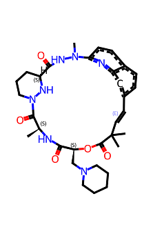 C[C@@H]1NC(=O)[C@H](CN2CCCCC2)OC(=O)C(C)(C)/C=C/c2ccc3ccc(nc3c2)N(C)NC(=O)[C@@H]2CCCN(N2)C1=O